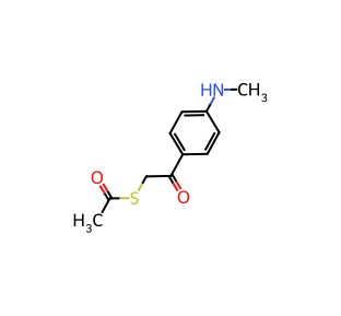 CNc1ccc(C(=O)CSC(C)=O)cc1